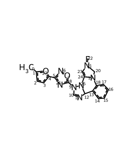 Cc1ccc(-c2noc(N3C=NC4c5ccccc5N5CN(F)C=C5N43)n2)o1